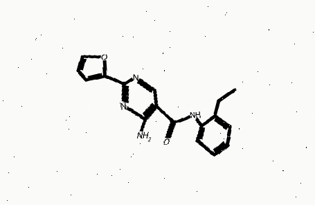 CCc1ccccc1NC(=O)c1cnc(-c2ccco2)nc1N